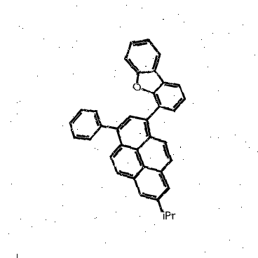 CC(C)c1cc2ccc3c(-c4ccccc4)cc(-c4cccc5c4oc4ccccc45)c4ccc(c1)c2c34